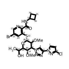 COC1C(n2cc(-n3ccc(Cl)n3)nn2)[C@@H](OC)C(C(C)O)O[C@@H]1Sc1cc(Br)cnc1C(=O)NC1CCC1